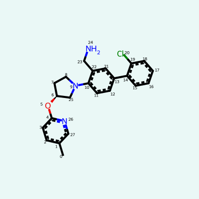 Cc1ccc(O[C@H]2CCN(c3ccc(-c4ccccc4Cl)cc3CN)C2)nc1